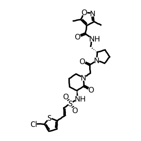 Cc1noc(C)c1C(=O)NC[C@@H]1CCCN1C(=O)CN1CCC[C@H](NS(=O)(=O)/C=C/c2ccc(Cl)s2)C1=O